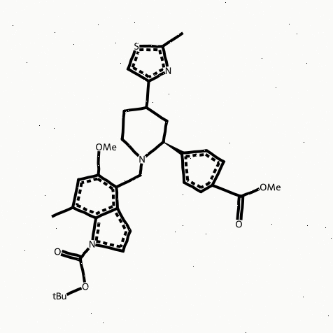 COC(=O)c1ccc([C@@H]2CC(c3csc(C)n3)CCN2Cc2c(OC)cc(C)c3c2ccn3C(=O)OC(C)(C)C)cc1